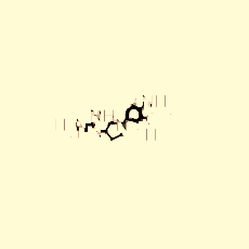 Cc1cc(N2CCC(NC(=N)N)C2)ccc1N